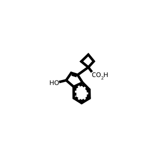 O=C(O)C1(C2=CC(O)c3ccccc32)CCC1